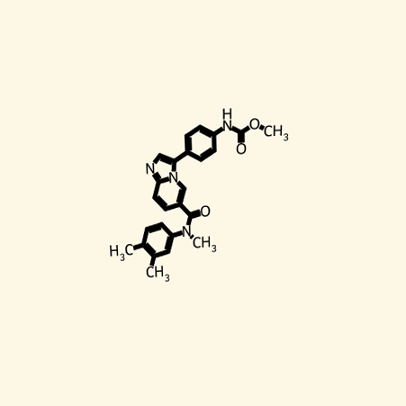 COC(=O)Nc1ccc(-c2cnc3ccc(C(=O)N(C)c4ccc(C)c(C)c4)cn23)cc1